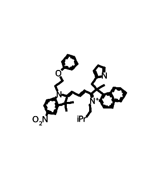 CC(C)CC[N+]1=C(/C=C/C=C2/N(CCOc3ccccc3)c3ccc([N+](=O)[O-])cc3C2(C)C)C(C)(CC2=CCC=N2)c2c1ccc1ccccc21